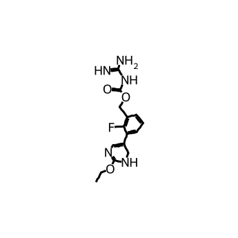 CCOC1=NC=C(c2cccc(COC(=O)NC(=N)N)c2F)CN1